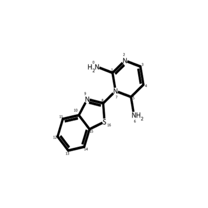 NC1=NC=CC(N)N1c1nc2ccccc2s1